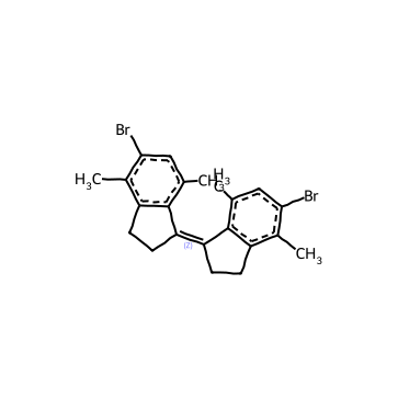 Cc1cc(Br)c(C)c2c1/C(=C1/CCc3c(C)c(Br)cc(C)c31)CC2